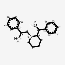 OC(CN1CCCCC1C(O)c1ccccc1)c1ccccc1